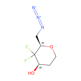 [N-]=[N+]=NC[C@H]1OCC[C@@H](O)C1(F)F